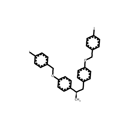 C[C@H](Cc1ccc(OCc2ccc(I)cc2)cc1)c1ccc(OCc2ccc(I)cc2)cc1